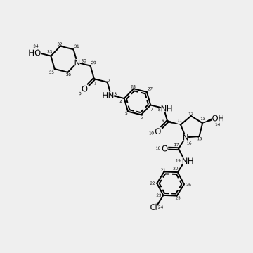 O=C(CNc1ccc(NC(=O)[C@H]2C[C@@H](O)CN2C(=O)Nc2ccc(Cl)cc2)cc1)CN1CCC(O)CC1